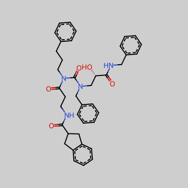 O=C(NCCC(=O)N(CCCc1ccccc1)C(=O)N(Cc1ccccc1)C[C@H](O)C(=O)NCc1ccccc1)C1Cc2ccccc2C1